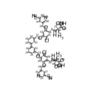 CC(CO)(NCc1cc(Cl)c(OCc2cccc(-c3cccc(COc4cc(OCc5cncc(C#N)c5)c(CN[C@@](C)(CO)C(=O)O)cc4Cl)c3)c2)cc1OCc1cncc(C#N)c1)C(=O)O